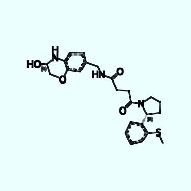 CSc1ccccc1[C@H]1CCCN1C(=O)CCC(=O)NCc1ccc2c(c1)OC[C@@H](O)N2